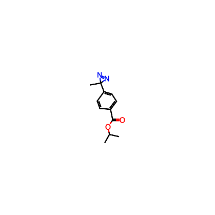 CC(C)OC(=O)c1ccc(C2(C)N=N2)cc1